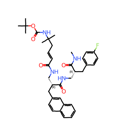 CNC(=O)[C@@H](CNC(=O)[C@@H](CNC(=O)C=CCC(C)(C)NC(=O)OC(C)(C)C)Cc1ccc2ccccc2c1)Cc1ccc(F)cc1